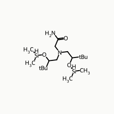 C[SiH](C)OC(CN(CC(N)=O)CC(O[SiH](C)C)C(C)(C)C)C(C)(C)C